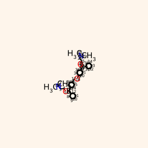 CN(C)CCOB(c1ccccc1)c1ccc(COc2ccc(B(OCCN(C)C)c3ccccc3)cc2)cc1